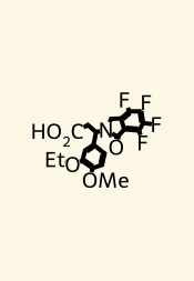 CCOc1cc(C(CC(=O)O)N2Cc3c(F)c(F)c(F)c(F)c3C2=O)ccc1OC